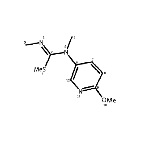 C/N=C(\SC)N(C)c1ccc(OC)nc1